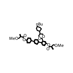 C=C(COC)C(=O)Oc1ccc(-c2ccc(-c3ccc(OC(=O)C(=C)COC)cc3C3OCC(C4CCC(CCCC)CC4)CO3)cc2)cc1